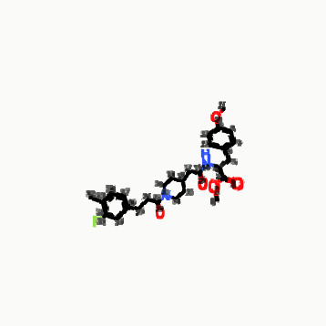 COC(=O)[C@H](Cc1ccc(OC)cc1)NC(=O)CC1CCN(C(=O)CCc2ccc(C)c(F)c2)CC1